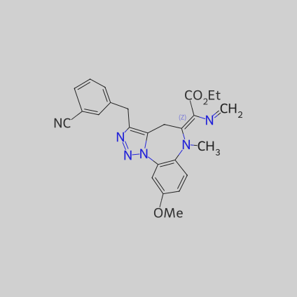 C=N/C(C(=O)OCC)=C1/Cc2c(Cc3cccc(C#N)c3)nnn2-c2cc(OC)ccc2N1C